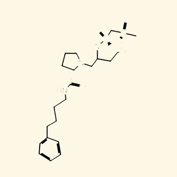 CC(C)CC(CN1CCC[C@H]1C(=O)NCCCCc1ccccc1)NS(=O)(=O)CS(C)(=O)=O